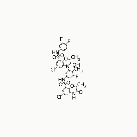 Cc1c(F)cc(NS(=O)(=O)c2cc(Cl)cc3c2OC(C)C(=O)N3)cc1N1c2cc(Cl)cc(S(=O)(=O)Nc3ccc(F)c(F)c3)c2OC(C)C1O